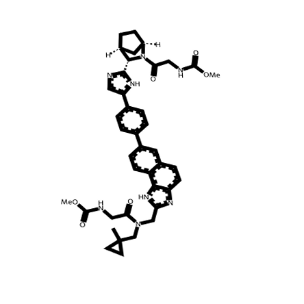 COC(=O)NCC(=O)N(Cc1nc2ccc3cc(-c4ccc(-c5cnc([C@@H]6[C@H]7CC[C@H](C7)N6C(=O)CNC(=O)OC)[nH]5)cc4)ccc3c2[nH]1)CC1(C)CC1